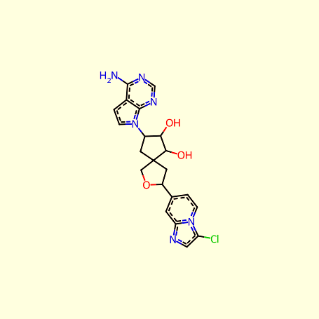 Nc1ncnc2c1ccn2C1CC2(COC(c3ccn4c(Cl)cnc4c3)C2)C(O)C1O